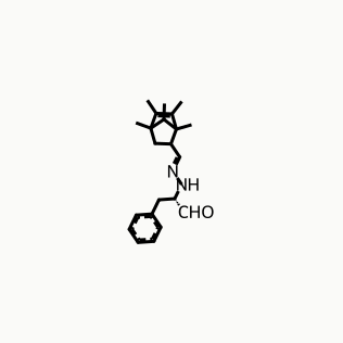 CC1=C(C)C2(C)C(/C=N/N[C@H](C=O)Cc3ccccc3)CC1(C)C2C